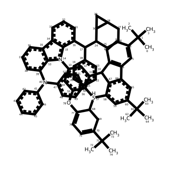 CC(C)(C)C1=CC2=C(CC1)C1c3cc(-n4c5c(C(c6ccccc6)C6CCCC7CC76)cccc5c5cccc(N(c6ccccc6)c6ccccc6)c54)cc4c3[SH](c3cc(C(C)(C)C)cc2c31)C1CC(C(C)(C)C)=CC=C1O4